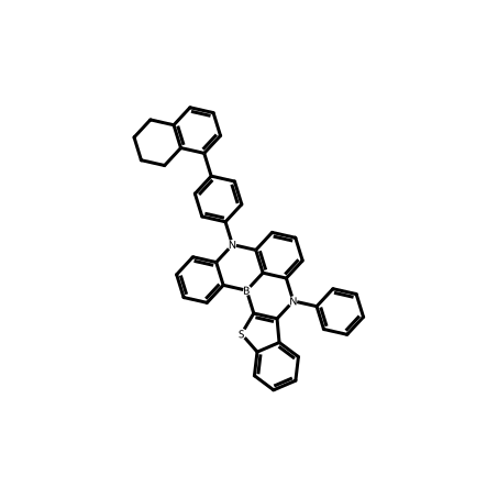 c1ccc(N2c3cccc4c3B(c3ccccc3N4c3ccc(-c4cccc5c4CCCC5)cc3)c3sc4ccccc4c32)cc1